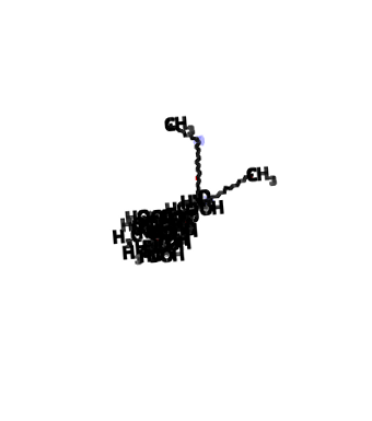 CCCCCCCC/C=C\CCCCCCCCCCCCCC(=O)N[C@@H](CO[C@@H]1OC(CO)[C@@H](O[C@@H]2OC(CO)[C@H](O[C@@H]3OC(CO)[C@H](O[C@@H]4OC(CO)[C@H](O)[C@H](O)C4NC(C)=O)[C@H](O[C@@H]4OC(CO)[C@H](O)[C@H](O)C4NC(C)=O)C3O)[C@H](O)C2O)[C@H](O)C1O)[C@H](O)/C=C/CCCCCCCCCCCCC